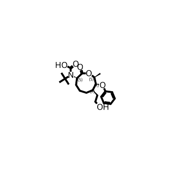 C[C@@H]1OC(=O)[C@@H](N(C(=O)O)C(C)(C)C)CCC[C@H](CCO)[C@H]1Oc1ccccc1